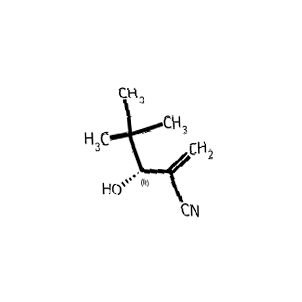 C=C(C#N)[C@H](O)C(C)(C)C